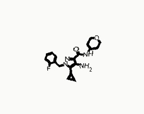 Nc1c(C(=O)NC2CCOCC2)nn(Cc2ccccc2F)c1C1CC1